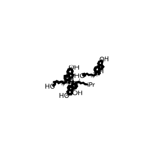 CC(C)CCC[C@@H](C)[C@H]1CC[C@H]2[C@@H]3CC=C4C[C@@H](O)CC(O)[C@]4(C)[C@H]3CC[C@]12C.CC(CO)CCC[C@@H](C)[C@H]1CC[C@H]2[C@@H]3CC=C4C[C@@H](O)CC[C@]4(C)[C@H]3CC[C@]12C.C[C@H](CCCC(C)(C)O)[C@H]1CC[C@H]2[C@@H]3CC=C4C[C@@H](O)CC[C@]4(C)[C@H]3CC[C@]12C